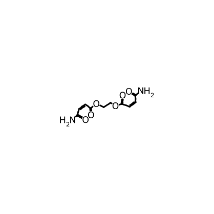 NC(=O)/C=C\C(=O)OCCOC(=O)/C=C\C(N)=O